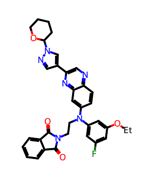 CCOc1cc(F)cc(N(CCN2C(=O)c3ccccc3C2=O)c2ccc3ncc(-c4cnn(C5CCCCO5)c4)nc3c2)c1